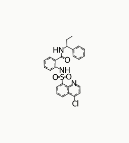 CCC(NC(=O)c1ccccc1NS(=O)(=O)c1cccc2c(Cl)ccnc12)c1ccccc1